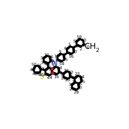 C=C1C=C(c2ccc(-c3ccc(N(c4cccc(-c5ccc(-c6cccc7ccccc67)cc5)c4)c4ccccc4-c4cccc5sc6ccccc6c45)cc3)cc2)C=CC1